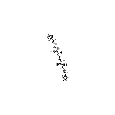 N=C(NCCCNC(=N)NCCSCc1ccsn1)NCCSCc1ccsn1